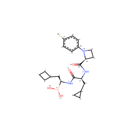 O=C(N[C@H](CC1CCC1)B(O)O)[C@H](CC1CC1)NC(=O)[C@@H]1CCN1c1ccc(F)cc1